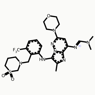 Cc1nc2c(/N=C/N(C)C)cc(N3CCOCC3)nn2c1Nc1cccc(C(F)(F)F)c1CN1CCCS(=O)(=O)C1